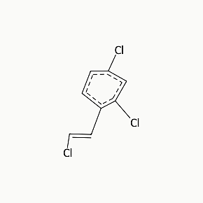 Cl/C=C/c1ccc(Cl)cc1Cl